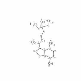 CCC(O)(CC)CCOC(C)C1CCC2C(O)CCC(C)C21